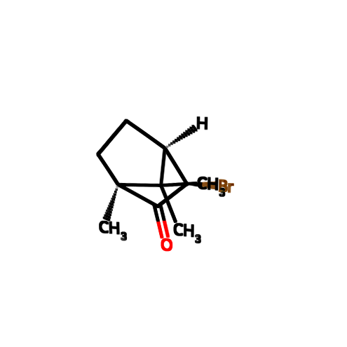 CC1(C)[C@H]2CC[C@]1(C)C(=O)[C@@H]2Br